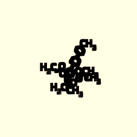 C=CC(=O)Oc1cc(C2CCC(C3CCC(C)CC3)CC2)c(OC(=O)C(=C)C)cc1OC(=O)C(=C)C